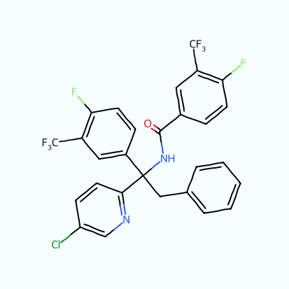 O=C(NC(Cc1ccccc1)(c1ccc(F)c(C(F)(F)F)c1)c1ccc(Cl)cn1)c1ccc(F)c(C(F)(F)F)c1